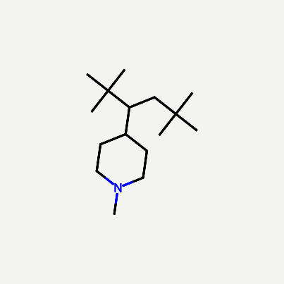 CN1CCC(C(CC(C)(C)C)C(C)(C)C)CC1